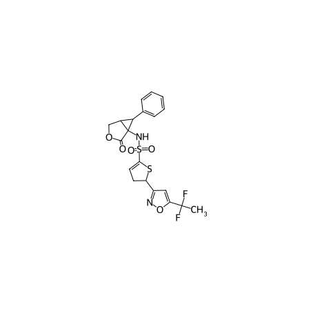 CC(F)(F)c1cc(C2CC=C(S(=O)(=O)NC34C(=O)OCC3C4c3ccccc3)S2)no1